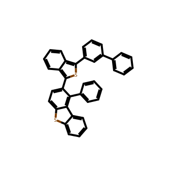 c1ccc(-c2cccc(-c3sc(-c4ccc5sc6ccccc6c5c4-c4ccccc4)c4ccccc34)c2)cc1